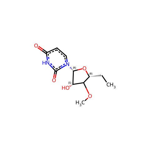 CC[C@H]1O[C@@H](n2ccc(=O)[nH]c2=O)[C@@H](O)C1OC